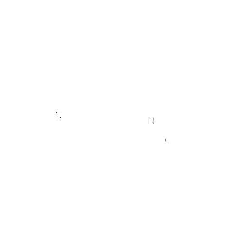 [C-]#[N+]Cc1ccncc1